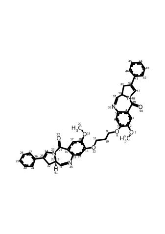 COc1cc2c(cc1OCCCOc1cc3c(cc1OC)C(=O)N1C=C(c4ccccc4)C[C@H]1C=N3)N=CC1CC(c3ccccc3)=CN1C2=O